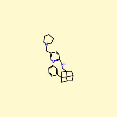 c1ccc(C23CC4CC5CC(CNc6ccc(CN7CCCCC7)cn6)(C2)C543)cc1